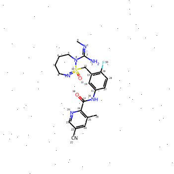 C/N=C(/N)N1CCCCN=S1(=O)Cc1cc(NC(=O)c2ncc(C#N)cc2C)ccc1F